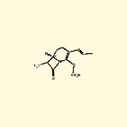 CC=CC1=C(OC(=O)O)N2C(=O)C(N)[C@@H]2SC1